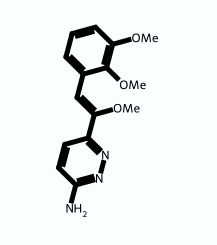 COC(=Cc1cccc(OC)c1OC)c1ccc(N)nn1